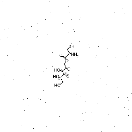 NC(CS)C(=O)OCC(=O)[C@H](O)[C@@H](O)[C@H](O)CO